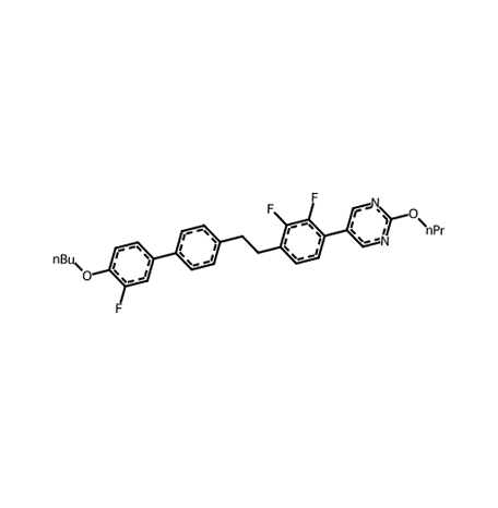 CCCCOc1ccc(-c2ccc(CCc3ccc(-c4cnc(OCCC)nc4)c(F)c3F)cc2)cc1F